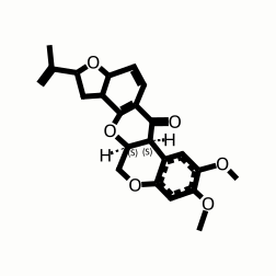 C=C(C)C1CC2C3=C(C=CC2O1)C(=O)[C@H]1c2cc(OC)c(OC)cc2OC[C@H]1O3